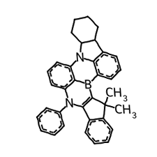 CC1(C)C2=C(c3ccccc31)N(c1ccccc1)c1cccc3c1B2c1cccc2c1N3C1CCCCC21